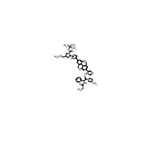 COCC1CC(c2ncc(-c3cc4c5c(c3)OCc3cc(-c6cnc([C@@H]7C[C@H](C)CN7C(=O)[C@H](NC(=O)OC)c7ccccc7)[nH]6)cc(c3-5)OC4)[nH]2)N(C(=O)OC(C)(C)C)C1